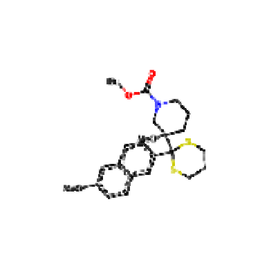 COc1ccc2cc(C3(C4(OC)CCCN(C(=O)OC(C)(C)C)C4)SCCCS3)ccc2c1